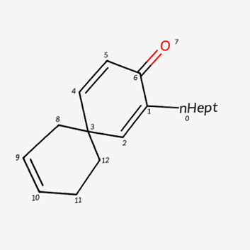 CCCCCCCC1=CC2(C=CC1=O)CC=CCC2